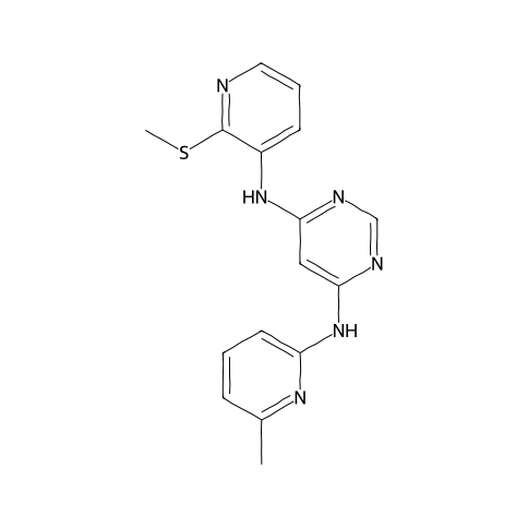 CSc1ncccc1Nc1cc(Nc2cccc(C)n2)ncn1